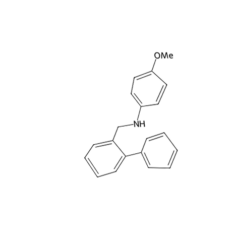 COc1ccc(NCc2ccccc2-c2ccccc2)cc1